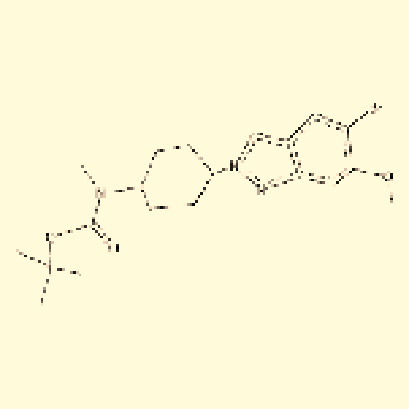 COc1cc2nn(C3CCC(N(C)C(=O)OC(C)(C)C)CC3)cc2cc1Br